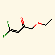 CCOCC(=O)C=C(F)F